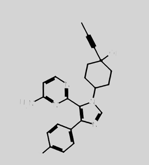 CC#CC1(O)CCC(n2cnc(-c3ccc(F)cc3)c2-c2nccc(N)n2)CC1